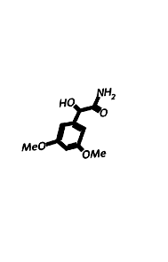 COc1cc(OC)cc(C(O)C(N)=O)c1